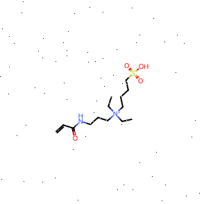 C=CC(=O)NCCC[N+](CC)(CC)CCCCS(=O)(=O)O